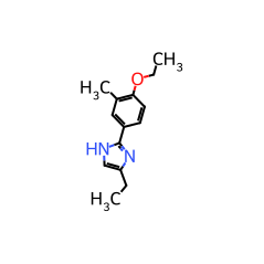 CCOc1ccc(-c2nc(CC)c[nH]2)cc1C